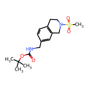 CC(C)(C)OC(=O)NCc1ccc2c(c1)CN(S(C)(=O)=O)CC2